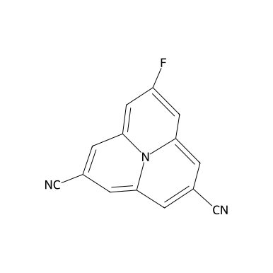 N#CC1=CC2=CC(F)=CC3=CC(C#N)=CC(=C1)N23